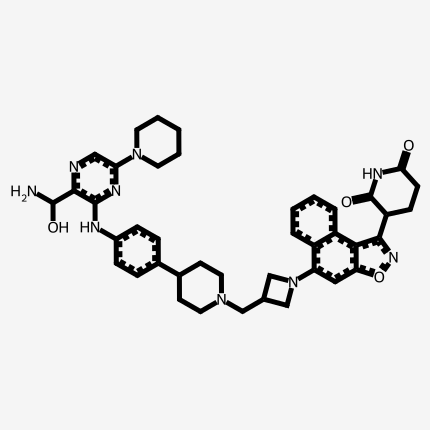 NC(O)c1ncc(N2CCCCC2)nc1Nc1ccc(C2CCN(CC3CN(c4cc5onc(C6CCC(=O)NC6=O)c5c5ccccc45)C3)CC2)cc1